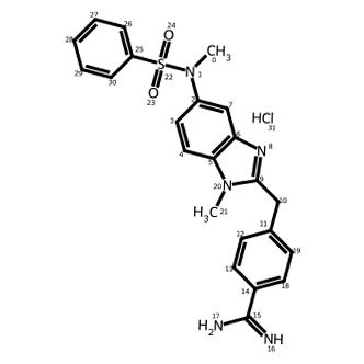 CN(c1ccc2c(c1)nc(Cc1ccc(C(=N)N)cc1)n2C)S(=O)(=O)c1ccccc1.Cl